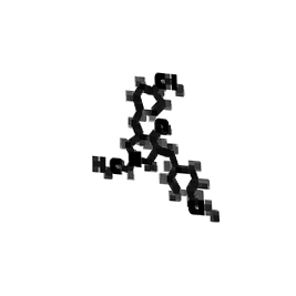 CCN1CC(=Cc2ccc(C)cc2)C(=O)C(=Cc2ccc(C)cc2)C1